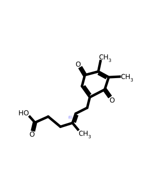 CC1=C(C)C(=O)C(C/C=C(\C)CCC(=O)O)=CC1=O